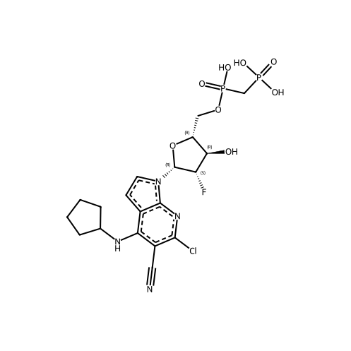 N#Cc1c(Cl)nc2c(ccn2[C@@H]2O[C@H](COP(=O)(O)CP(=O)(O)O)[C@@H](O)[C@@H]2F)c1NC1CCCC1